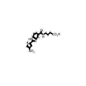 Cn1cc([N+](=O)[O-])cc1-c1nc2cc(C(=O)NCCCC(=O)O)ccc2[nH]1